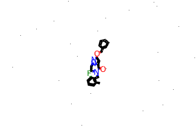 Cc1cccc(F)c1CN1CCn2nc(OCc3ccccc3)cc2C1=O